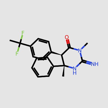 CN1C(=N)N[C@](C)(c2ccccc2)[C@@H](c2ccc(C(C)(F)F)cc2)C1=O